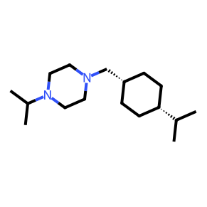 CC(C)N1CCN(C[C@H]2CC[C@@H](C(C)C)CC2)CC1